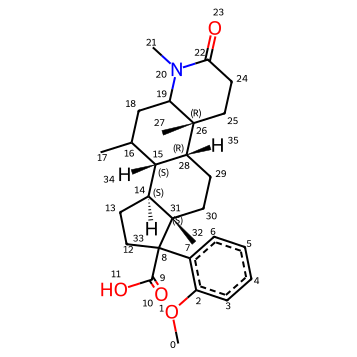 COc1ccccc1C1(C(=O)O)CC[C@H]2[C@@H]3C(C)CC4N(C)C(=O)CC[C@]4(C)[C@@H]3CC[C@@]21C